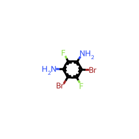 Nc1c(F)c(N)c(Br)c(F)c1Br